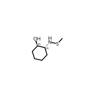 CSN[C@@H]1CCCC[C@H]1O